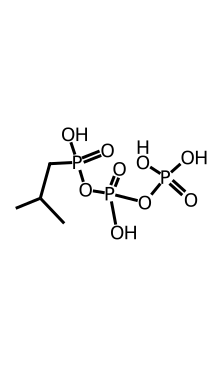 CC(C)CP(=O)(O)OP(=O)(O)OP(=O)(O)O